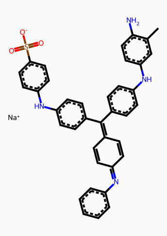 Cc1cc(Nc2ccc(C(=C3C=CC(=Nc4ccccc4)C=C3)c3ccc(Nc4ccc(S(=O)(=O)[O-])cc4)cc3)cc2)ccc1N.[Na+]